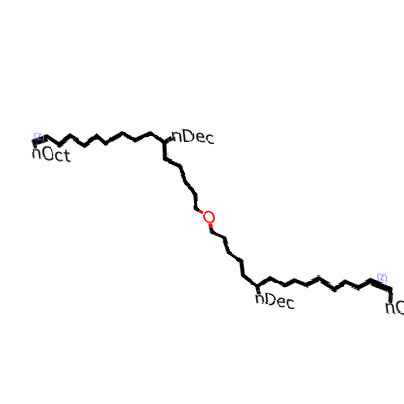 CCCCCCCC/C=C\CCCCCCCCC(CCCCCCCCCC)CCCCCOCCCCCC(CCCCCCCC/C=C\CCCCCCCC)CCCCCCCCCC